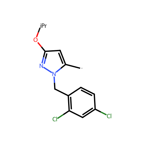 [CH2]c1cc(OC(C)C)nn1Cc1ccc(Cl)cc1Cl